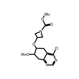 COC1Cc2ncnc(Cl)c2CC1OC1CN(C(=O)OC(C)(C)C)C1